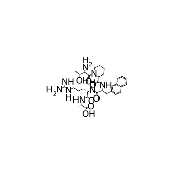 C[C@H](NC(=O)[C@H](CCCNC(=N)N)NC(=O)[C@H](Cc1ccc2ccccc2c1)NC(=O)[C@@H]1CCCCN1C(=O)[C@H](N)[C@H](C)O)C(=O)O